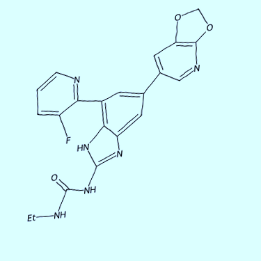 CCNC(=O)Nc1nc2cc(-c3cnc4c(c3)OCO4)cc(-c3ncccc3F)c2[nH]1